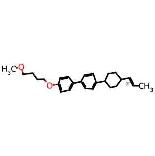 C/C=C/C1CCC(c2ccc(-c3ccc(OCCCCOC)cc3)cc2)CC1